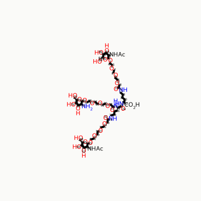 CC(=O)N[C@H]1[C@H](OCCOCCOCCOCC(=O)NCCCC[C@H](NC(=O)[C@H](CCCCNC(=O)COCCOCCOCCO[C@@H]2O[C@H](CO)[C@H](O)[C@H](O)[C@H]2NC(C)=O)NC(=O)COCCOCCOCCO[C@@H]2O[C@H](CO)[C@H](O)[C@H](O)[C@H]2N)C(=O)O)O[C@H](CO)[C@H](O)[C@@H]1O